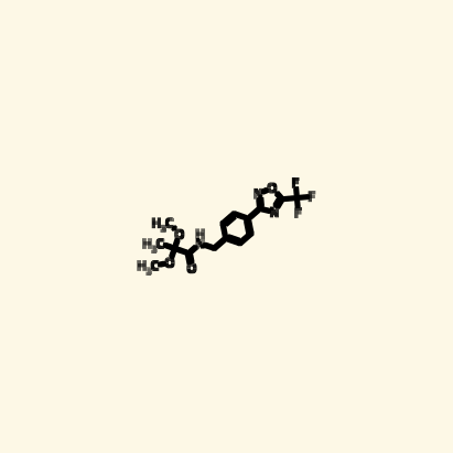 COC(C)(OC)C(=O)NCc1ccc(-c2noc(C(F)(F)F)n2)cc1